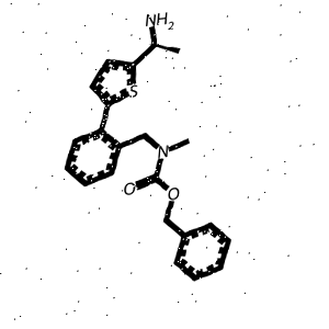 C[C@H](N)c1ccc(-c2ccccc2CN(C)C(=O)OCc2ccccc2)s1